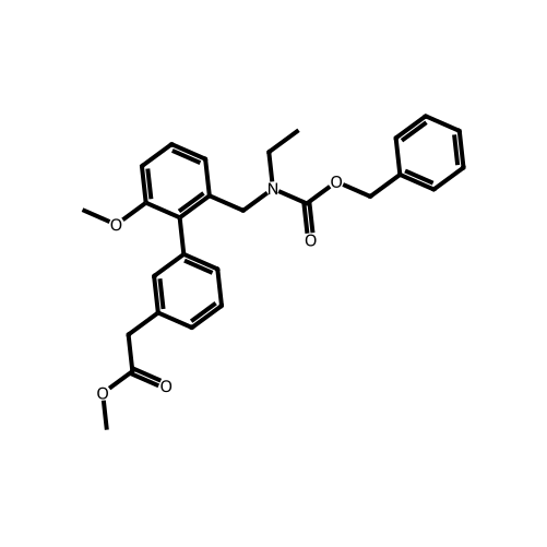 CCN(Cc1cccc(OC)c1-c1cccc(CC(=O)OC)c1)C(=O)OCc1ccccc1